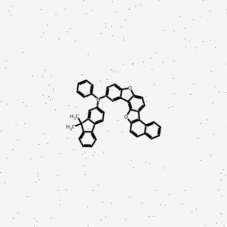 CC1(C)c2ccccc2-c2ccc(N(c3ccccc3)c3ccc4oc5ccc6c(oc7ccc8ccccc8c76)c5c4c3)cc21